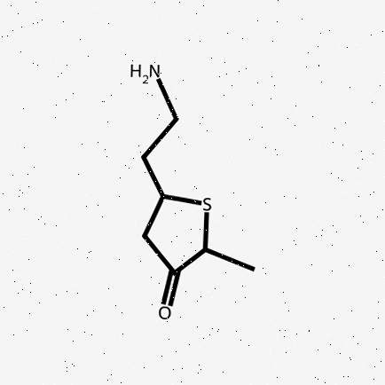 CC1SC(CCN)CC1=O